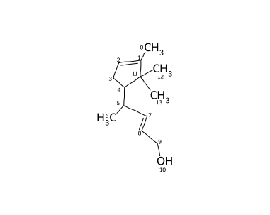 CC1=CCC(C(C)C=CCO)C1(C)C